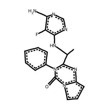 CC(Nc1ncnc(N)c1F)c1nc2cccn2c(=O)n1-c1ccccc1